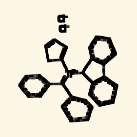 C1=CC[C]([Ti+2](=[C](c2ccccc2)c2ccccc2)[CH]2c3ccccc3-c3ccccc32)=C1.[Cl-].[Cl-]